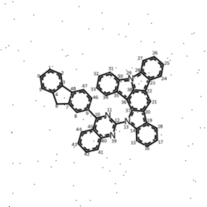 c1ccc2c(c1)Cc1cc(-c3nc(-n4c5ccccc5c5cc6c7ccccc7n7c8ccccc8c(c54)c67)nc4ccccc34)ccc1-2